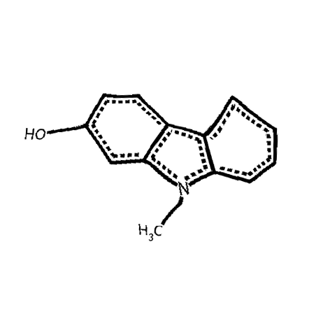 Cn1c2ccccc2c2ccc(O)cc21